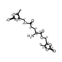 Cc1oc(=O)oc1COC(=O)CC[C@H](N)C(=O)OCc1oc(=O)oc1C